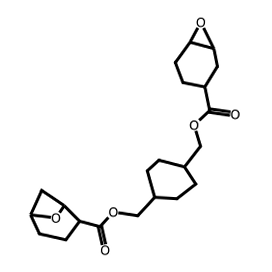 O=C(OCC1CCC(COC(=O)C2CCC3CC2O3)CC1)C1CCC2OC2C1